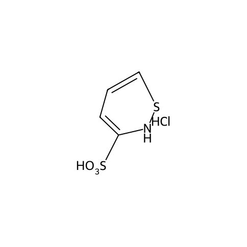 Cl.O=S(=O)(O)C1=CC=CSN1